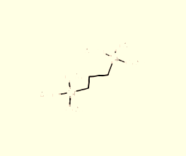 CC(=O)O[Si](CCC[Si](OC(C)=O)(OC(C)=O)OC(C)=O)(OC(C)=O)OC(C)=O